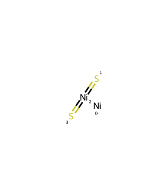 [Ni].[S]=[Ni]=[S]